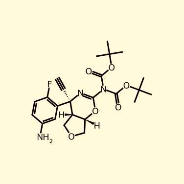 C#C[C@]1(c2cc(N)ccc2F)N=C(N(C(=O)OC(C)(C)C)C(=O)OC(C)(C)C)O[C@@H]2COC[C@@H]21